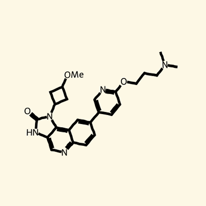 COC1CC(n2c(=O)[nH]c3cnc4ccc(-c5ccc(OCCCN(C)C)nc5)cc4c32)C1